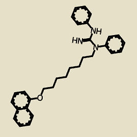 N=C(Nc1ccccc1)N(CCCCCCCCOc1cccc2ccccc12)c1ccccc1